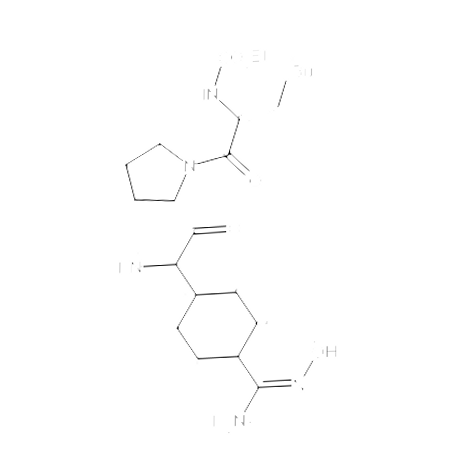 CCOC(=O)N[C@H](CC(C)(C)C)C(=O)N1CCC[C@H]1C(=O)C(N)C1CCC(/C(N)=N\O)CC1